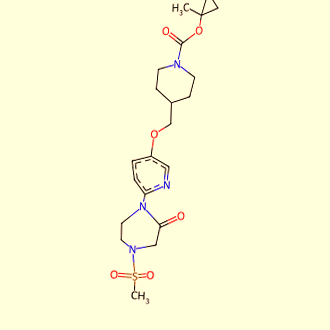 CC1(OC(=O)N2CCC(COc3ccc(N4CCN(S(C)(=O)=O)CC4=O)nc3)CC2)CC1